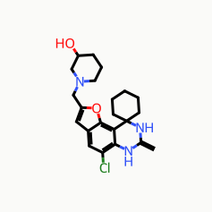 C=C1Nc2c(Cl)cc3cc(CN4CCCC(O)C4)oc3c2C2(CCCCC2)N1